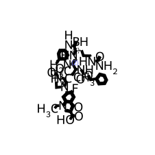 B=C(Nc1ccc(COC(=O)N2CCN(c3cc4c(cc3F)c(=O)c(C(=O)O)cn4CC)CC2)cc1)[C@H](CCCNC(N)=O)N/C=C(\N)C(NC(=O)OCc1ccccc1)C(C)(C)C